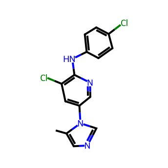 Cc1cncn1-c1cnc(Nc2ccc(Cl)cc2)c(Cl)c1